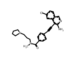 CN(CCCN1CCCC1)C(=O)c1ccc(C#Cc2c(N)ncc3ccc(Cl)cc23)cc1